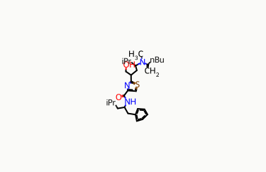 C=C(CCCC)N(C)C(CC(CO)c1nc(C(=O)NC(Cc2ccccc2)CC(C)C)cs1)C(C)C